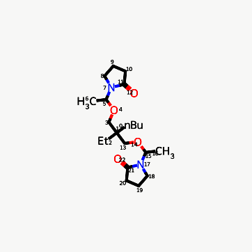 CCCCC(CC)(COC(C)N1CCCC1=O)COC(C)N1CCCC1=O